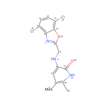 CSc1cc(NCc2nc3c(Cl)ccc(Cl)c3o2)c(=O)[nH]c1C